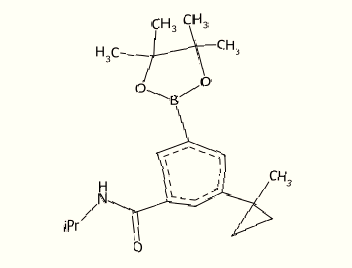 CC(C)NC(=O)c1cc(B2OC(C)(C)C(C)(C)O2)cc(C2(C)CC2)c1